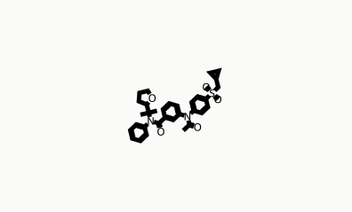 CC(=O)N(c1ccc(S(=O)(=O)CC2CC2)cc1)c1cccc(C(=O)N(c2ccccc2)C(C)(C)C2CCCO2)c1